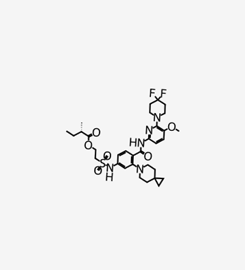 CC[C@H](C)C(=O)OCCS(=O)(=O)Nc1ccc(C(=O)Nc2ccc(OC)c(N3CCC(F)(F)CC3)n2)c(N2CCC3(CC2)CC3)c1